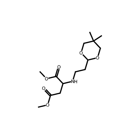 COC(=O)CC(NCCC1OCC(C)(C)CO1)C(=O)OC